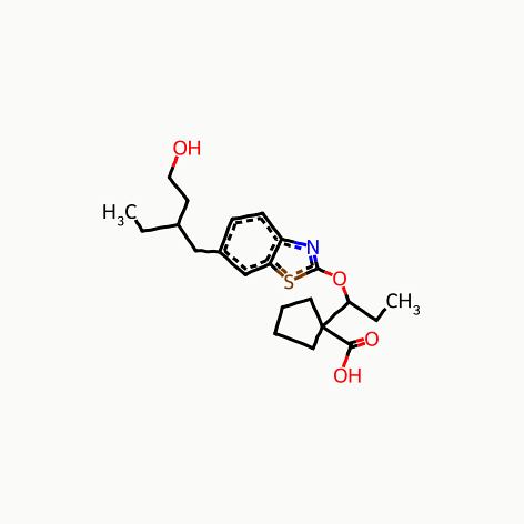 CCC(CCO)Cc1ccc2nc(OC(CC)C3(C(=O)O)CCCC3)sc2c1